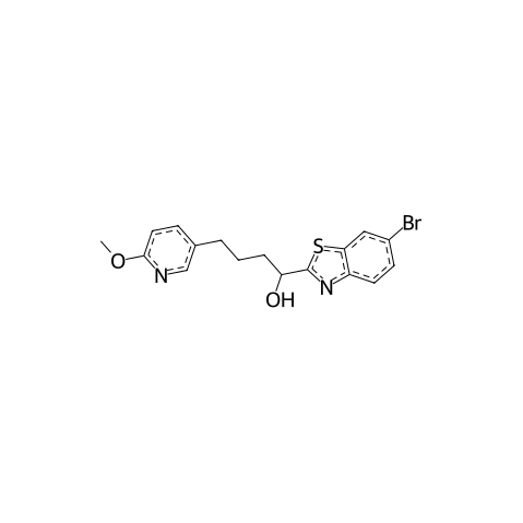 COc1ccc(CCCC(O)c2nc3ccc(Br)cc3s2)cn1